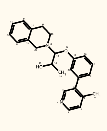 Cc1ccncc1-c1cccc(OC(C(C)O)N2CCc3ccccc3C2)c1